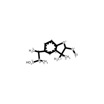 CCOC1Oc2ccc(C(C)N(C)S(=O)(=O)O)cc2C1(C)C